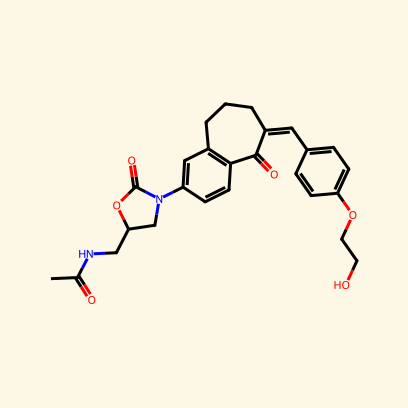 CC(=O)NCC1CN(c2ccc3c(c2)CCCC(=Cc2ccc(OCCO)cc2)C3=O)C(=O)O1